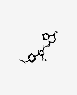 C=C1CC/C(=C/Nc2nc(C)c(-c3ccc(OC(C)(C)C)cc3)s2)n2cccc21